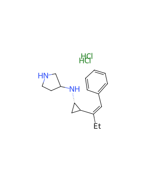 CCC(=Cc1ccccc1)C1C[C@@H]1NC1CCNC1.Cl.Cl